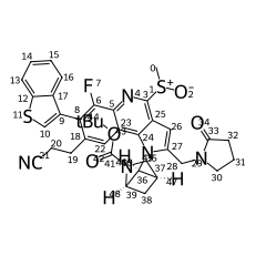 C[S+]([O-])c1nc2c(F)c(-c3csc4ccccc34)c(CCC#N)cc2c2c1cc(CN1CCCC1=O)n2[C@H]1[C@@H]2C[C@H]1N(C(=O)OC(C)(C)C)C2